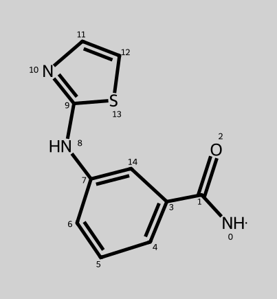 [NH]C(=O)c1cccc(Nc2nccs2)c1